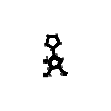 Brc1nc(C2CCCC2)[nH]c1Br